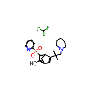 CC(C)(CN1CCCCC1)C1=CC2=C(C#N)C(S(=O)(=O)c3ccccn3)=C1C2.FC(F)F